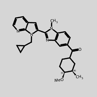 CO[C@H]1CCC(C(=O)c2ccc3c(c2)nc(-c2cc4cccnc4n2CC2CC2)n3C)C[C@H]1C